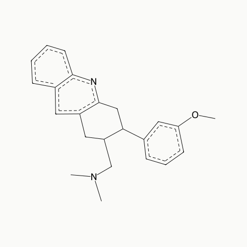 COc1cccc(C2Cc3nc4ccccc4cc3CC2CN(C)C)c1